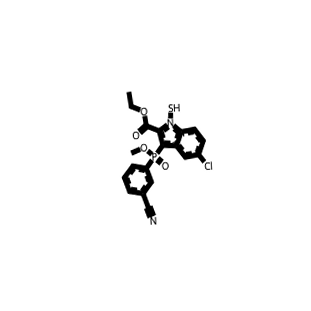 CCOC(=O)c1c(P(=O)(OC)c2cccc(C#N)c2)c2cc(Cl)ccc2n1S